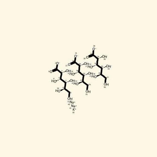 O=C([O-])[C@H](O)[C@@H](O)[C@H](O)[C@H](O)CO.O=C([O-])[C@H](O)[C@@H](O)[C@H](O)[C@H](O)CO.O=C([O-])[C@H](O)[C@@H](O)[C@H](O)[C@H](O)CO.[K+].[Na+].[Na+]